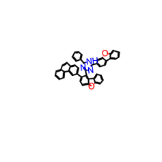 c1ccc(C2N=C(c3c(-c4ccc5ccc6ccccc6c5c4)ccc4oc5ccccc5c34)N=C(c3ccc4c(c3)oc3ccccc34)N2)cc1